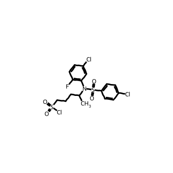 CC(CCCS(=O)(=O)Cl)N(c1cc(Cl)ccc1F)S(=O)(=O)c1ccc(Cl)cc1